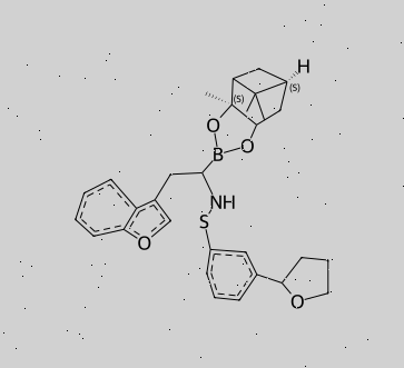 CC1(C)C2C[C@H]1CC1OB(C(Cc3coc4ccccc34)NSc3cccc(C4CCCO4)c3)O[C@]12C